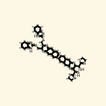 SC(C1=NCCS1)c1nc2cc3ccccc3cc2nc1C(S)C1=NCCS1.c1ccc2cc3nc(CSc4nc5ccccc5[nH]4)c(CSc4nc5ccccc5[nH]4)nc3cc2c1